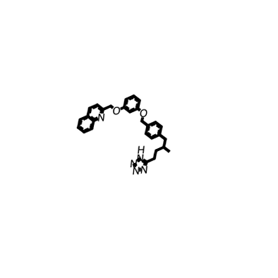 CC(CCc1nnn[nH]1)Cc1ccc(COc2cccc(OCc3ccc4ccccc4n3)c2)cc1